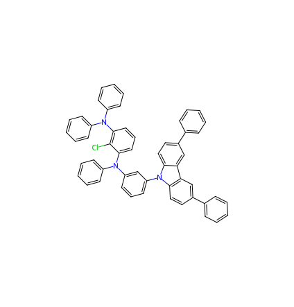 Clc1c(N(c2ccccc2)c2ccccc2)cccc1N(c1ccccc1)c1cccc(-n2c3ccc(-c4ccccc4)cc3c3cc(-c4ccccc4)ccc32)c1